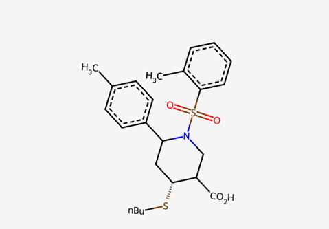 CCCCS[C@@H]1CC(c2ccc(C)cc2)N(S(=O)(=O)c2ccccc2C)CC1C(=O)O